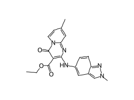 CCOC(=O)c1c(Nc2ccc3nn(C)cc3c2)nc2cc(C)ccn2c1=O